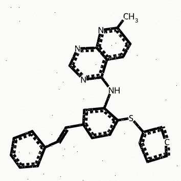 Cc1ccc2c(Nc3cc(/C=C/c4ccccc4)ccc3Sc3ccccc3)ncnc2n1